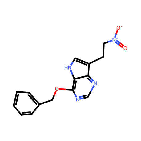 O=[N+]([O-])CCc1c[nH]c2c(OCc3ccccc3)ncnc12